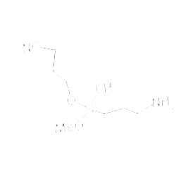 CO[Si](C)(CCCN)OCCCC#N